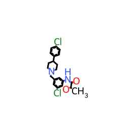 CC1Oc2c(Cl)cc(CN3CCC(c4ccc(Cl)cc4)CC3)cc2NC1=O